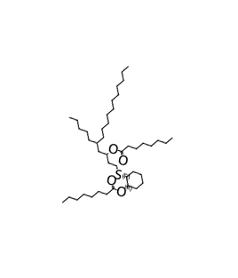 CCCCCCCCCCCC(CCCCC)CC(CCS[C@@H]1CCCC[C@H]1OC(=O)CCCCCCC)OC(=O)CCCCCCC